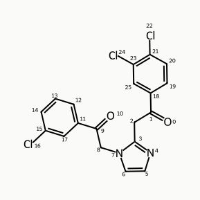 O=C(Cc1nccn1CC(=O)c1cccc(Cl)c1)c1ccc(Cl)c(Cl)c1